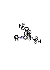 O=C(O)CC[C@H]1CN(S(=O)(=O)c2cccc(OC(F)F)c2)c2cc(/C=C/c3ccccn3)ccc2O1